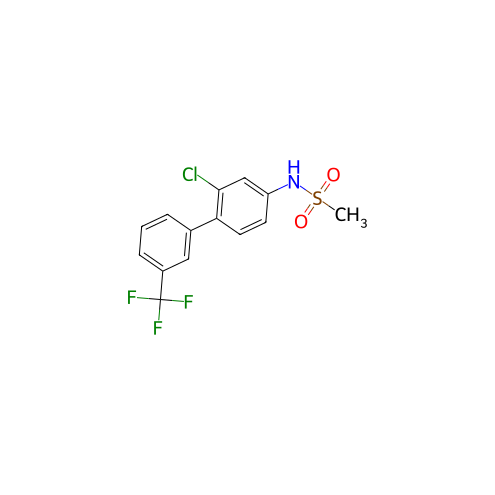 CS(=O)(=O)Nc1ccc(-c2cccc(C(F)(F)F)c2)c(Cl)c1